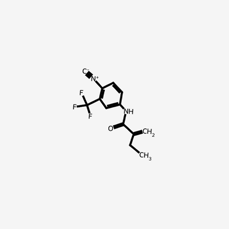 [C-]#[N+]c1ccc(NC(=O)C(=C)CC)cc1C(F)(F)F